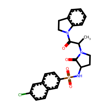 CC(C(=O)N1CCc2ccccc21)N1CCC(NS(=O)(=O)c2ccc3cc(Cl)ccc3c2)C1=O